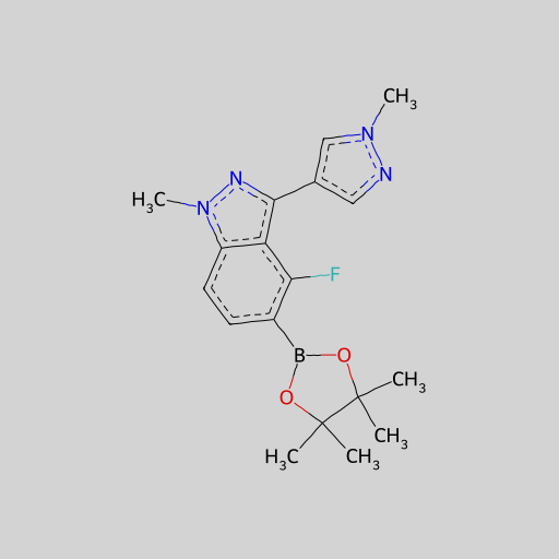 Cn1cc(-c2nn(C)c3ccc(B4OC(C)(C)C(C)(C)O4)c(F)c23)cn1